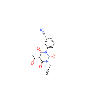 C#CCN1C(=O)C(C(C)=O)C(=O)N(c2cccc(C#N)c2)C1=O